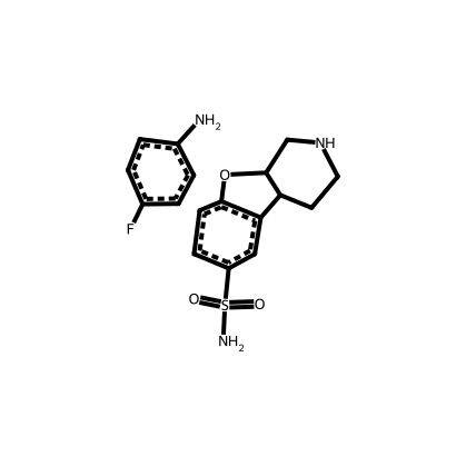 NS(=O)(=O)c1ccc2c(c1)C1CCNCC1O2.Nc1ccc(F)cc1